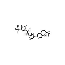 Cn1nc(C(F)(F)F)cc1C(=O)Nc1nc(-c2ccc3c(c2)CCC(=O)N3)cs1